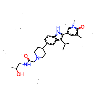 Cc1cc(-c2[nH]c3ccc(C4CCN(CC(=O)NC[C@@H](C)O)CC4)cc3c2C(C)C)cn(C)c1=O